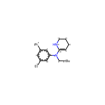 CCc1cc(C(C)C)cc(N(CC(C)(C)C)C2=CCCCN2)c1